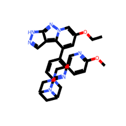 CCOc1cc(-c2ccc(N3C4CC3CN(Cc3ccc(OC)nc3)C4)nc2)c2c3cn[nH]c3nn2c1